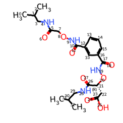 CC(C)CNC(=O)CONC(=O)c1cccc(C(=O)NO[C@H](CC(=O)O)C(=O)NCC(C)C)c1